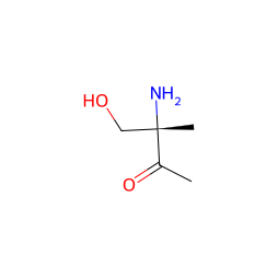 CC(=O)[C@@](C)(N)CO